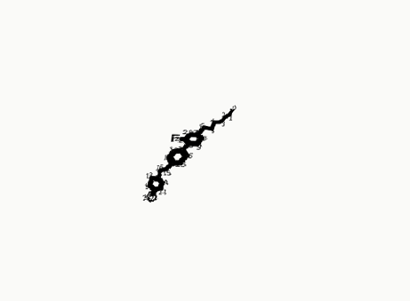 CCCCCCCc1ccc(-c2ccc(CCc3ccc(OC)cc3)cc2)c(F)c1